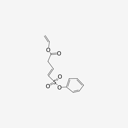 C=COC(=O)CC=CS(=O)(=O)Oc1ccccc1